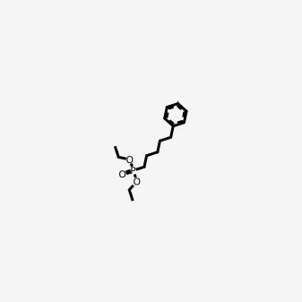 CCOP(=O)(CCCCCc1cc[c]cc1)OCC